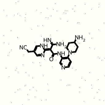 N#CCC1=CN/C(=C(\C(=N)N)C(=O)Nc2cnccc2N2CCC(N)CC2)N=C1